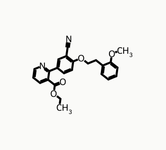 CCOC(=O)c1cccnc1-c1ccc(OCCc2ccccc2OC)c(C#N)c1